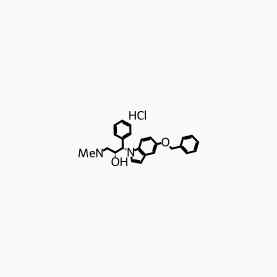 CNC[C@@H](O)[C@H](c1ccccc1)n1ccc2cc(OCc3ccccc3)ccc21.Cl